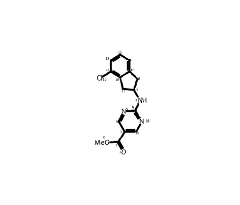 COC(=O)c1cnc(NC2Cc3cccc(Cl)c3C2)nc1